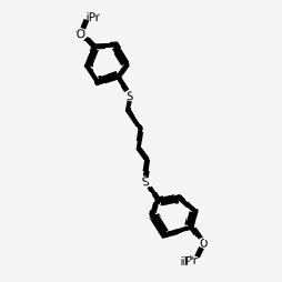 CC(C)Oc1ccc(SCCCCSc2ccc(OC(C)C)cc2)cc1